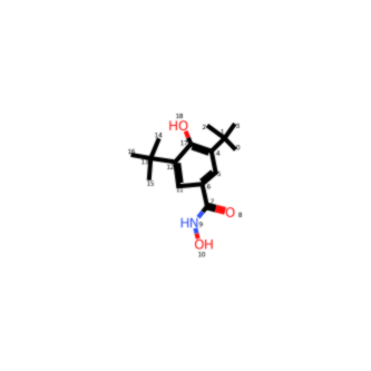 CC(C)(C)c1cc(C(=O)NO)cc(C(C)(C)C)c1O